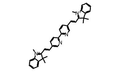 C[N+]1=C(/C=C/c2ccc(-c3ccc(/C=C/C4=[N+](C)c5ccccc5C4(C)C)cn3)nc2)C(C)(C)c2ccccc21